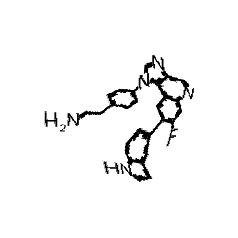 NCCc1ccc(-n2cnc3cnc4cc(F)c(-c5ccc6[nH]ccc6c5)cc4c32)cc1